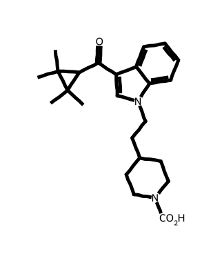 CC1(C)C(C(=O)c2cn(CCC3CCN(C(=O)O)CC3)c3ccccc23)C1(C)C